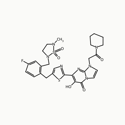 CN1CCN(Cc2cc(F)ccc2Cc2cnc(-c3nc4n(CC(=O)N5CCCCC5)ccn4c(=O)c3O)s2)S1(=O)=O